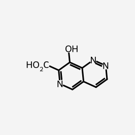 O=C(O)c1ncc2ccnnc2c1O